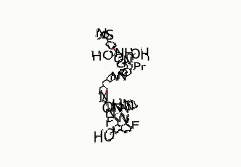 C#Cc1c(F)ccc2cc(O)cc(-c3ncc4c(N5CC6CCC(C5)N6)nc(OCCN5CCC(CC6CCN(c7cc([C@H](C(=O)N8C[C@H](O)C[C@H]8C(=O)N[C@@H](CO)c8ccc(-c9scnc9C)cc8)C(C)C)on7)CC6)CC5)nc4c3F)c12